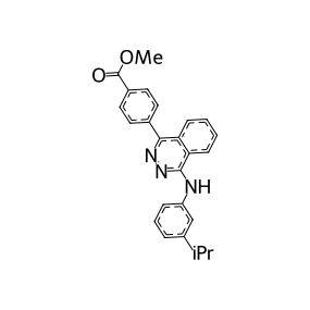 COC(=O)c1ccc(-c2nnc(Nc3cccc(C(C)C)c3)c3ccccc23)cc1